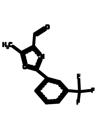 Cc1oc(-c2cccc(C(F)(F)F)c2)nc1C=O